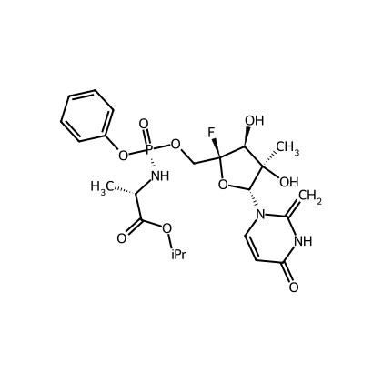 C=C1NC(=O)C=CN1[C@@H]1O[C@](F)(CO[P@@](=O)(N[C@@H](C)C(=O)OC(C)C)Oc2ccccc2)[C@@H](O)[C@@]1(C)O